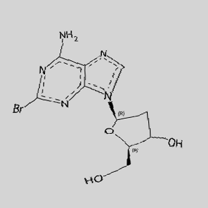 Nc1nc(Br)nc2c1ncn2[C@H]1CC(O)[C@@H](CO)O1